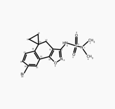 CN(C)S(=O)(=O)Nc1noc2c1CC1(CC1)c1ccc(Br)cc1-2